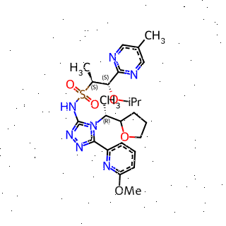 COc1cccc(-c2nnc(NS(=O)(=O)[C@@H](C)[C@@H](OC(C)C)c3ncc(C)cn3)n2[C@H](C)C2CCCO2)n1